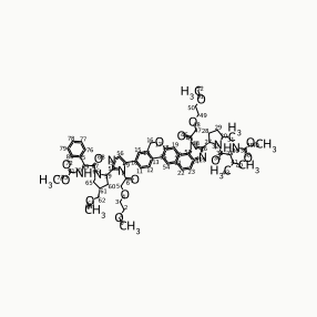 COCCOCC(=O)n1c(-c2ccc3c(c2)COc2cc4c(ccc5nc([C@H]6CC[C@@H](C)N6C(=O)[C@H](NC(=O)OC)C(C)C)n(C(=O)COCCOC)c54)cc2-3)cnc1C1C[C@@H](COC)CN1C(=O)[C@@H](NC(=O)OC)c1ccccc1